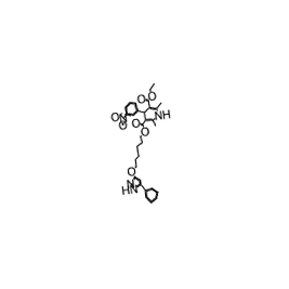 CCOC(=O)C1=C(C)NC(C)=C(C(=O)OCCCCCCOc2cc(-c3ccccc3)[nH]n2)C1c1cccc([N+](=O)[O-])c1